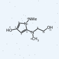 CNn1cc(O)cc1N(C)CCO